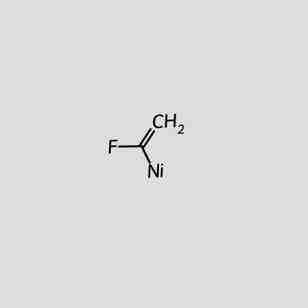 C=[C](F)[Ni]